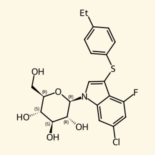 CCc1ccc(Sc2cn([C@@H]3O[C@H](CO)[C@@H](O)[C@H](O)[C@H]3O)c3cc(Cl)cc(F)c23)cc1